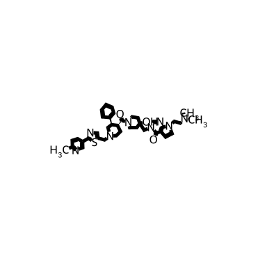 Cc1ccc(-c2ncc(CN3CC[C@@H](C(=O)N4CCC(O)(Cn5cnc6c(ccn6CCN(C)C)c5=O)CC4)[C@H](c4ccccc4)C3)s2)cn1